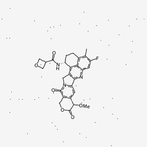 COC1C(=O)OCc2c1cc1n(c2=O)Cc2c-1nc1cc(F)c(C)c3c1c2[C@H](NC(=O)C1COC1)CC3